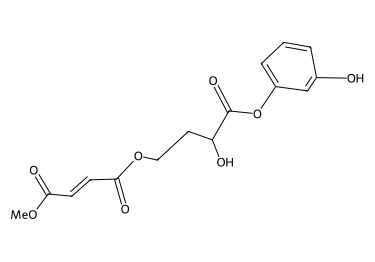 COC(=O)C=CC(=O)OCCC(O)C(=O)Oc1cccc(O)c1